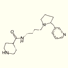 O=C(NCCCCN1CCCC1c1cccnc1)C1CCNCC1